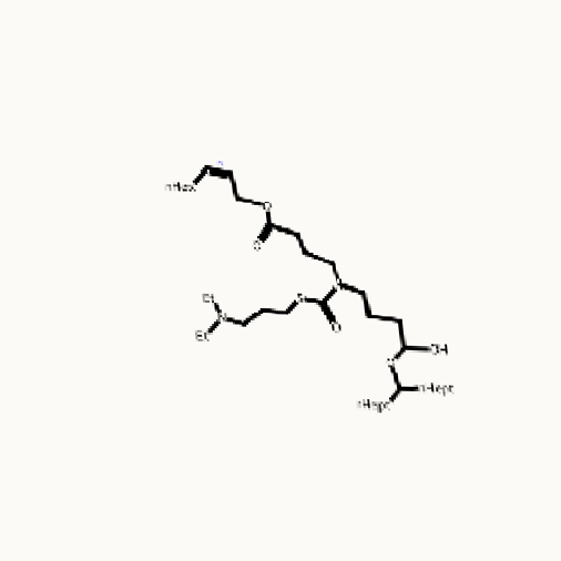 CCCCCC/C=C\COC(=O)CCCN(CCCC(O)OC(CCCCCCC)CCCCCCC)C(=O)SCCCN(CC)CC